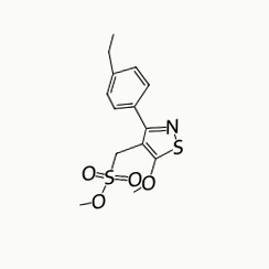 CCc1ccc(-c2nsc(OC)c2CS(=O)(=O)OC)cc1